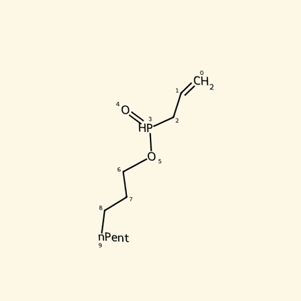 C=CC[PH](=O)OCCCCCCCC